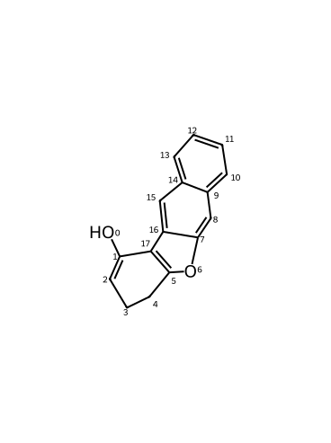 OC1=CCCc2oc3cc4ccccc4cc3c21